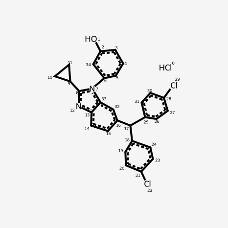 Cl.Oc1cccc(-n2c(C3CC3)nc3ccc(C(c4ccc(Cl)cc4)c4ccc(Cl)cc4)cc32)c1